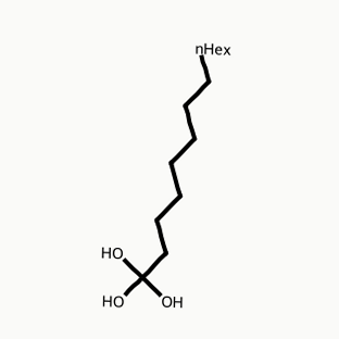 CCCCCCCCCCCCCC(O)(O)O